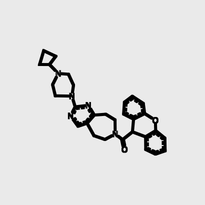 O=C(C1c2ccccc2Oc2ccccc21)N1CCc2cnc(N3CCN(C4CCC4)CC3)nc2CC1